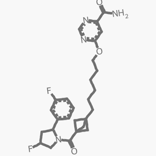 NC(=O)c1cc(OCCCCCCC23CC(C(=O)N4CC(F)CC4c4cccc(F)c4)(C2)C3)ncn1